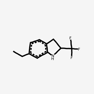 CCc1ccc2c(c1)NC(C(F)(F)F)C2